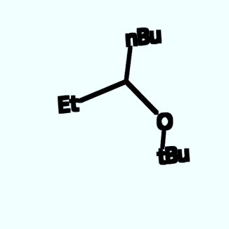 CCCCC(CC)OC(C)(C)C